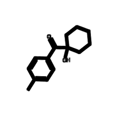 Cc1ccc(C(=O)C2(O)CCCCC2)cc1